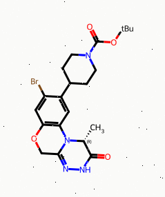 C[C@@H]1C(=O)NN=C2COc3cc(Br)c(C4CCN(C(=O)OC(C)(C)C)CC4)cc3N21